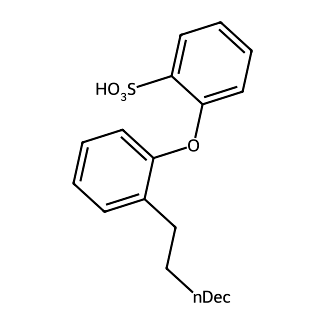 CCCCCCCCCCCCc1ccccc1Oc1ccccc1S(=O)(=O)O